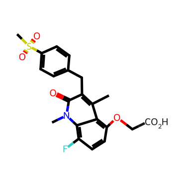 Cc1c(Cc2ccc(S(C)(=O)=O)cc2)c(=O)n(C)c2c(F)ccc(OCC(=O)O)c12